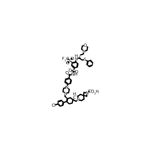 CC1(CN2CCC3(CC2)CN(C(=O)O)C3)CCC(c2ccc(Cl)cc2)=C(CN2CCN(c3ccc(C(=O)NS(=O)(=O)c4ccc(N[C@H](CCN5CCOCC5)CSc5ccccc5)c(S(=O)(=O)C(F)(F)F)c4)cc3)CC2)C1